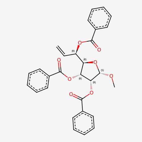 C=C[C@@H](OC(=O)c1ccccc1)[C@H]1O[C@H](OC)[C@H](OC(=O)c2ccccc2)[C@@H]1OC(=O)c1ccccc1